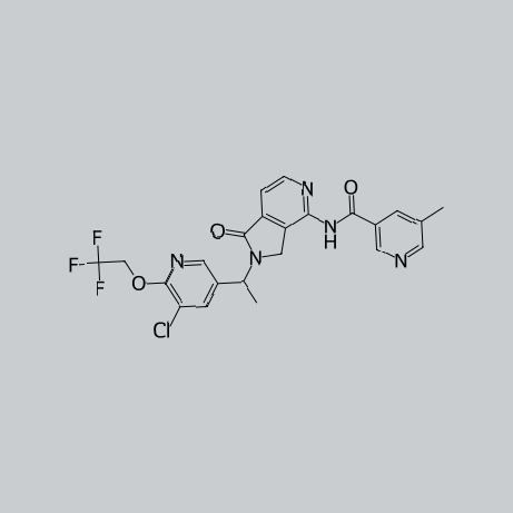 Cc1cncc(C(=O)Nc2nccc3c2CN(C(C)c2cnc(OCC(F)(F)F)c(Cl)c2)C3=O)c1